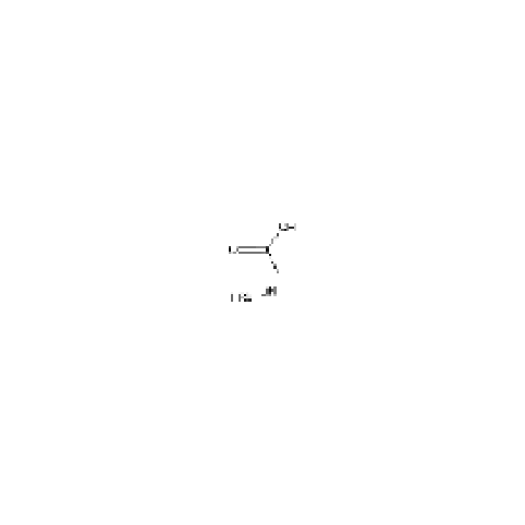 CC(=O)O.[LiH].[RbH]